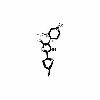 CC(=O)N1CC[C@@H](c2[nH]c(-c3ccc(F)cn3)nc2Cl)[C@@H](C)C1